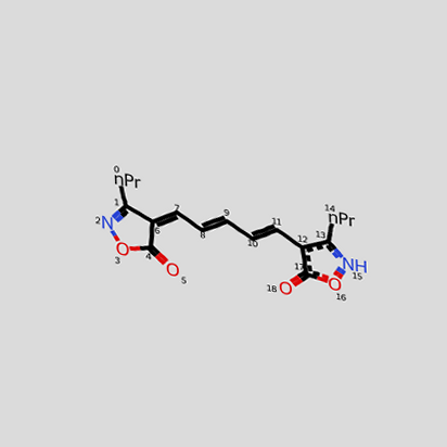 CCCC1=NOC(=O)\C1=C/C=C/C=C/c1c(CCC)[nH]oc1=O